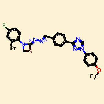 CC(C)c1cc(F)ccc1N1CS/C1=N\N=C\c1ccc(-c2ncn(-c3ccc(OC(F)(F)F)cc3)n2)cc1